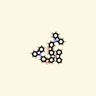 c1ccc2c(c1)-c1ccccc1[Si]2(c1ccc2oc3ccc(-n4c5ccccc5c5ccccc54)cc3c2c1)c1ccc2oc3ccc(-n4c5ccccc5c5ccccc54)cc3c2c1